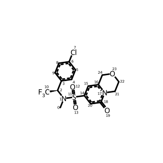 CN([C@H](c1ccc(Cl)cc1)C(F)(F)F)S(=O)(=O)c1cc2n(c(=O)c1)CCOC2